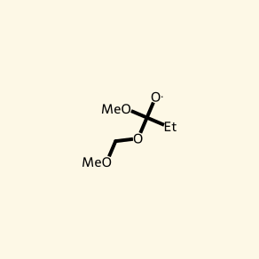 CCC([O])(OC)OCOC